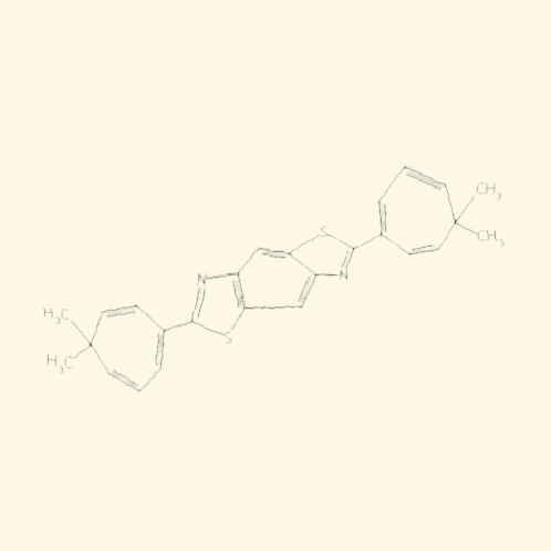 CC1(C)C=CC=C(c2nc3cc4sc(C5=CC=CC(C)(C)C=C5)nc4cc3s2)C=C1